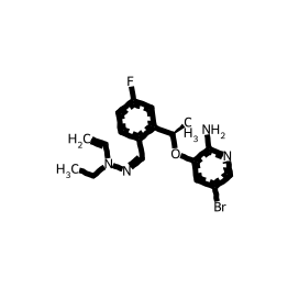 C=CN(CC)/N=C\c1ccc(F)cc1[C@@H](C)Oc1cc(Br)cnc1N